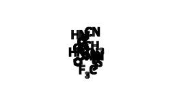 Cc1c(S(=O)(=O)NC2CN(c3ncnc4sc(CC(F)(F)F)cc34)CC2C2CCCCC2)ccc2[nH]c(C#N)cc12